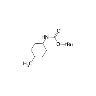 CC1[CH]CC(NC(=O)OC(C)(C)C)CC1